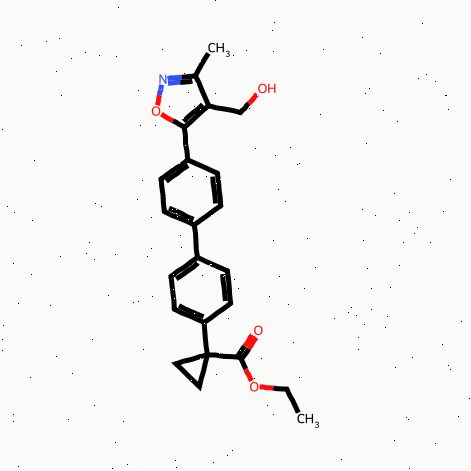 CCOC(=O)C1(c2ccc(-c3ccc(-c4onc(C)c4CO)cc3)cc2)CC1